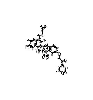 O=C(COc1ccc2c(c1)S(=O)(=O)N=C(c1c(O)c3cc(F)ccc3n(CCC3CC3)c1=O)N2)N1CCOCC1